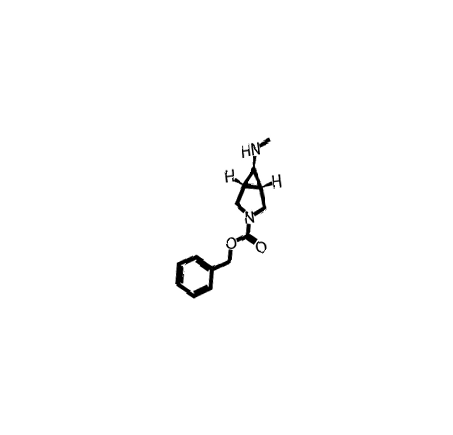 CN[C@H]1[C@@H]2CN(C(=O)OCc3ccccc3)C[C@@H]21